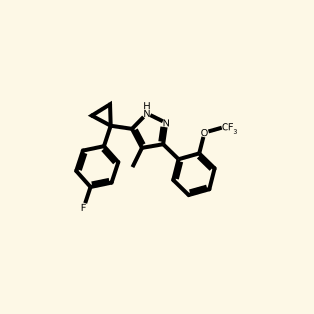 Cc1c(-c2ccccc2OC(F)(F)F)n[nH]c1C1(c2ccc(F)cc2)CC1